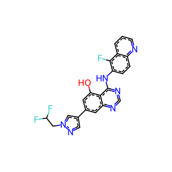 Oc1cc(-c2cnn(CC(F)F)c2)cc2ncnc(Nc3ccc4ncccc4c3F)c12